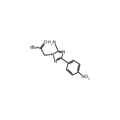 CC(C)(C)C(=O)Cn1nc(-c2ccc([N+](=O)[O-])cc2)nc1N